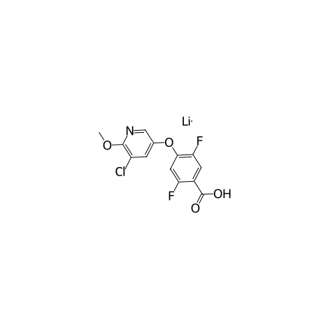 COc1ncc(Oc2cc(F)c(C(=O)O)cc2F)cc1Cl.[Li]